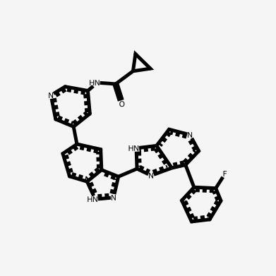 O=C(Nc1cncc(-c2ccc3[nH]nc(-c4nc5c(-c6ccccc6F)cncc5[nH]4)c3c2)c1)C1CC1